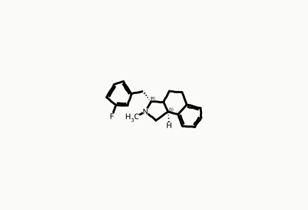 CN1C[C@@H]2c3ccccc3CCC2[C@H]1Cc1cccc(F)c1